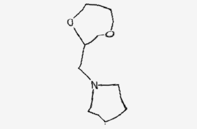 [CH]1CCN(CC2OCCO2)C1